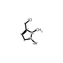 CN1C(CCl)=CCN1Br